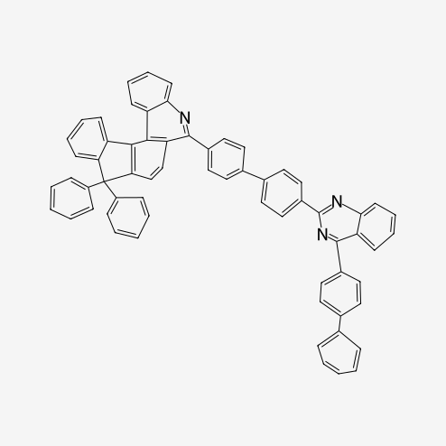 c1ccc(-c2ccc(-c3nc(-c4ccc(-c5ccc(-c6nc7ccccc7c7c8c(ccc67)C(c6ccccc6)(c6ccccc6)c6ccccc6-8)cc5)cc4)nc4ccccc34)cc2)cc1